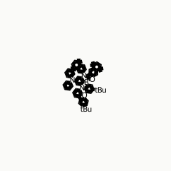 CC(C)(C)c1ccc2c(c1)B1c3oc4cc5c(cc4c3N(c3ccc4c(c3)C(C)(C)CCC4(C)C)c3cc(N(c4ccccc4)c4ccccc4)cc(c31)N2c1cccc2c1oc1ccc(C(C)(C)C)cc12)C(C)(C)CCC5(C)C